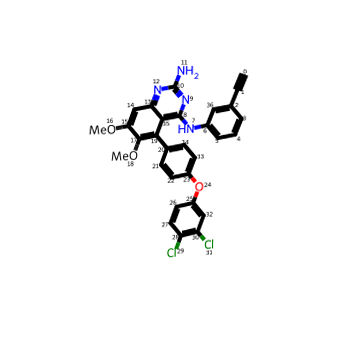 C#Cc1cccc(Nc2nc(N)nc3cc(OC)c(OC)c(-c4ccc(Oc5ccc(Cl)c(Cl)c5)cc4)c23)c1